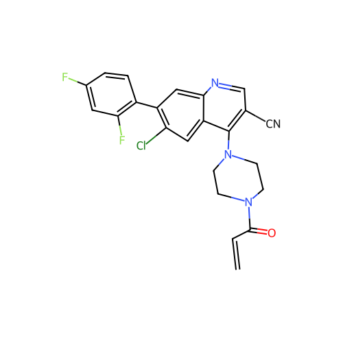 C=CC(=O)N1CCN(c2c(C#N)cnc3cc(-c4ccc(F)cc4F)c(Cl)cc23)CC1